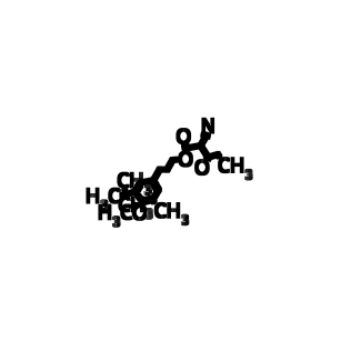 CCC(=O)C(C#N)C(=O)OCCCc1cc(C)c(OC)c(C(C)(C)C)c1